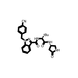 CC(C)(C)[C@H](NC(=O)c1nn(Cc2ccc(C#N)cc2)c2ccccc12)C(=O)N[C@@H]1CNC(=O)C1